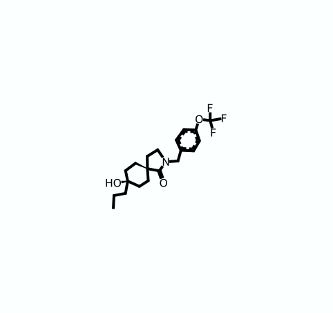 CCC[C@]1(O)CC[C@]2(CCN(Cc3ccc(OC(F)(F)F)cc3)C2=O)CC1